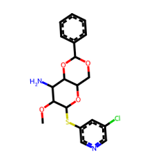 COC1C(Sc2cncc(Cl)c2)OC2COC(c3ccccc3)OC2C1N